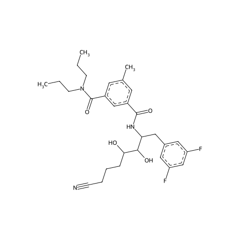 CCCN(CCC)C(=O)c1cc(C)cc(C(=O)NC(Cc2cc(F)cc(F)c2)C(O)C(O)CCCC#N)c1